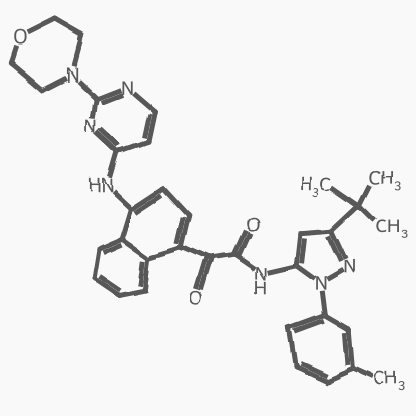 Cc1cccc(-n2nc(C(C)(C)C)cc2NC(=O)C(=O)c2ccc(Nc3ccnc(N4CCOCC4)n3)c3ccccc23)c1